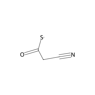 N#CCC(=O)[S]